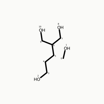 CO.OCCCC(CO)CO